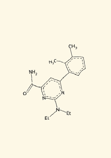 CCN(CC)c1nc(C(N)=O)cc(-c2cccc(C)c2C)n1